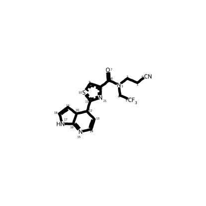 N#CCCN(CC(F)(F)F)C(=O)c1csc(C2C=CN=C3NC=CC32)n1